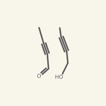 CC#CC=O.CC#CCO